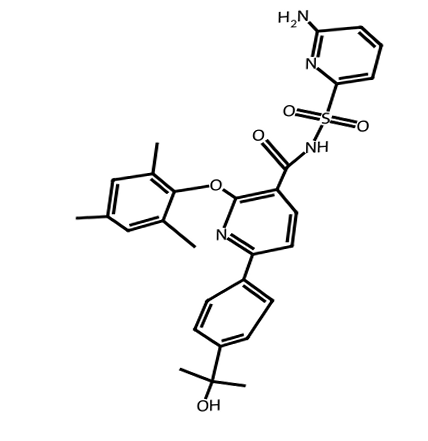 Cc1cc(C)c(Oc2nc(-c3ccc(C(C)(C)O)cc3)ccc2C(=O)NS(=O)(=O)c2cccc(N)n2)c(C)c1